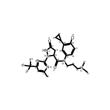 Cc1cc(C(F)(F)F)nc(N2NC(=O)CC2C(=O)N(CCCN(C)C)c2ccc(Cl)c(C3CC3)c2)n1